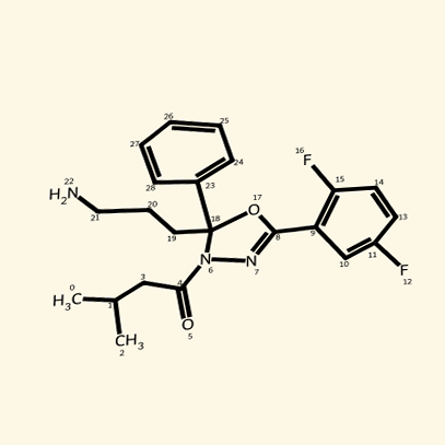 CC(C)CC(=O)N1N=C(c2cc(F)ccc2F)OC1(CCCN)c1ccccc1